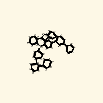 c1ccc(-c2cccc(-c3ccc(N(c4ccc(-c5ccccc5-c5ccccc5)cc4)c4ccccc4-c4cc5ccccc5o4)cc3)c2)cc1